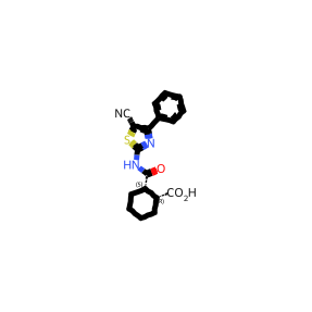 N#Cc1sc(NC(=O)[C@H]2CCCC[C@H]2C(=O)O)nc1-c1ccccc1